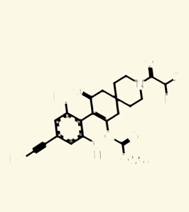 CC#Cc1cc(C)c(C2=C(OC(=O)OC)CC3(CCN(C(=O)C(F)F)CC3)CC2=O)c(C)c1